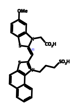 COc1ccc2c(c1)N(CC(=O)O)/C(=C/c1sc3ccc4ccccc4c3[n+]1CCCS(=O)(=O)O)S2